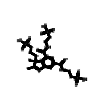 CC1=Nc2cc(C(=O)NCCS(=O)(=O)O)cc(C(=O)NCCS(=O)(=O)O)c2C1(C)CCCS(=O)(=O)O